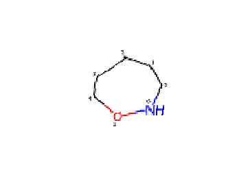 [CH]1CCCCON1